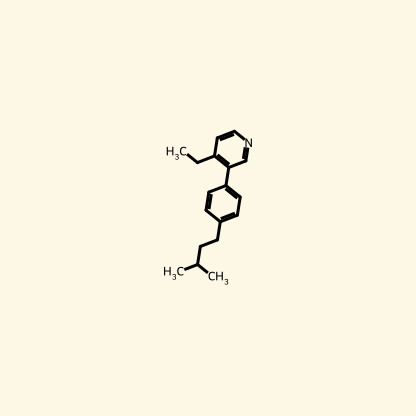 CCc1ccncc1-c1ccc(CCC(C)C)cc1